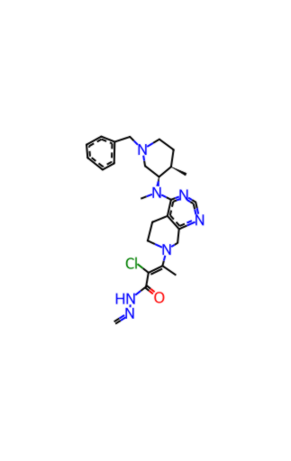 C=NNC(=O)/C(Cl)=C(\C)N1CCc2c(ncnc2N(C)[C@H]2CN(Cc3ccccc3)CC[C@H]2C)C1